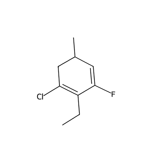 CCC1=C(Cl)CC(C)C=C1F